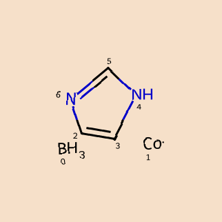 B.[Co].c1c[nH]cn1